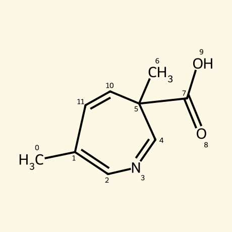 CC1=CN=CC(C)(C(=O)O)C=C1